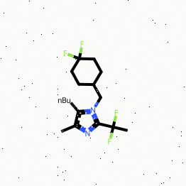 CCCCc1c(C)nc(C(C)(F)F)n1CC1CCC(F)(F)CC1